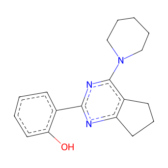 Oc1ccccc1-c1nc2c(c(N3CCCCC3)n1)CCC2